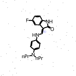 CCCN(CCC)c1ccc(N/C=C2/C(=O)Nc3ccc(F)cc32)cc1